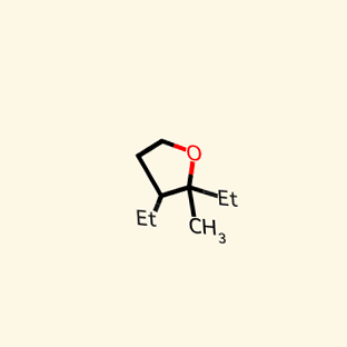 [CH2]CC1(C)OCCC1CC